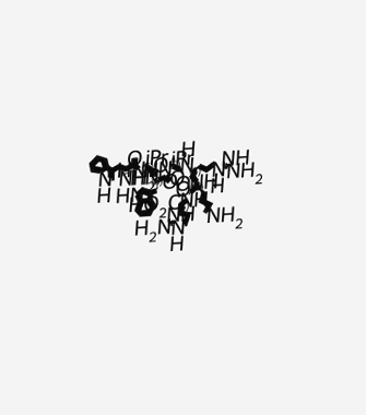 CC(C)[C@H](NC(=O)[C@H](Cc1c[nH]c2ccccc12)NC(=O)[C@@H](NC(=O)[C@@H](N)Cc1c[nH]c2ccccc12)C(C)C)C(=O)N[C@@H](CCCNC(=N)N)C(=O)N[C@@H](CCCCN)C(=O)N[C@@H](CCCNC(=N)N)C(=O)O